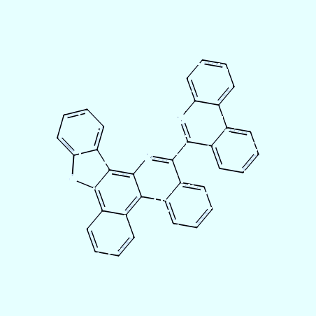 c1ccc2c(c1)nc(-c1nc3c(c4ccccc14)c1ccccc1c1oc4ccccc4c31)c1ccccc12